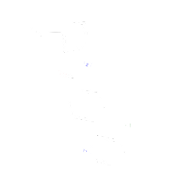 CCOC(=O)c1cccc(NC(=O)c2ccc(-c3ncccc3Cl)cc2)c1